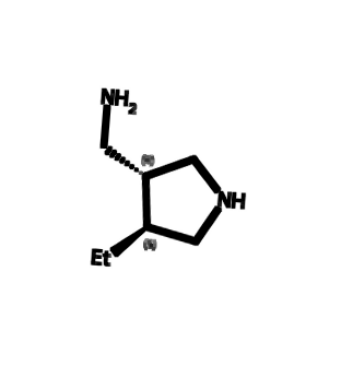 CC[C@@H]1CNC[C@H]1CN